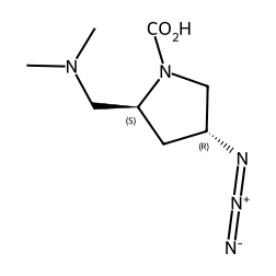 CN(C)C[C@@H]1C[C@@H](N=[N+]=[N-])CN1C(=O)O